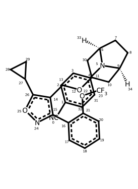 N#Cc1ccc(N2[C@@H]3CC[C@H]2CC(OCc2c(-c4ccccc4OC(F)(F)F)noc2C2CC2)C3)cc1